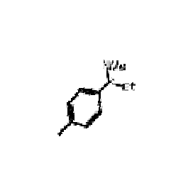 CC[C@H](NC)c1ccc(C)cc1